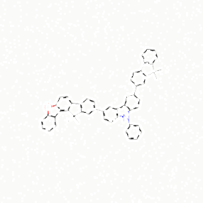 CC1(C)c2ccccc2-c2ccc(-c3ccc4c(c3)c3cc(-c5ccc6c(c5)C(C)(C)c5c-6ccc6oc7ccccc7c56)ccc3n4-c3ccccc3)cc21